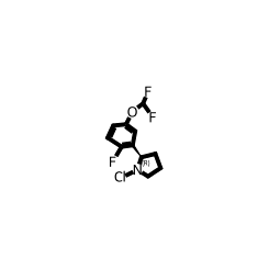 Fc1ccc(OC(F)F)cc1[C@H]1CCCN1Cl